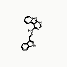 C(=NNc1ncnc2nn3ccccc3c12)c1c[nH]c2ccccc12